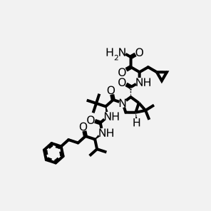 CC(C)[C@H](NC(=O)N[C@H](C(=O)N1C[C@H]2C([C@H]1C(=O)NC(CC1CC1)C(=O)C(N)=O)C2(C)C)C(C)(C)C)C(=O)CCc1ccccc1